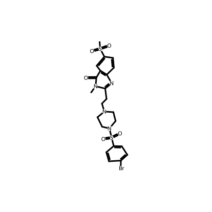 Cn1c(CCN2CCN(S(=O)(=O)c3ccc(Br)cc3)CC2)nc2ccc(S(C)(=O)=O)cc2c1=O